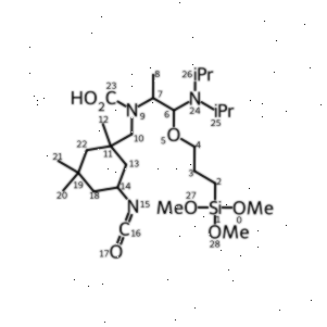 CO[Si](CCCOC(C(C)N(CC1(C)CC(N=C=O)CC(C)(C)C1)C(=O)O)N(C(C)C)C(C)C)(OC)OC